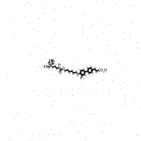 CCO[Si](CCCNC(=O)OCCCCCCOc1ccc(-c2ccc(C=CC(=O)O)cc2)cc1F)(OCC)OCC